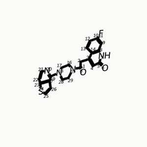 O=C(Cc1cc(=O)[nH]c2cc(F)ccc12)N1CCN(c2nccc3sccc23)CC1